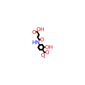 COC(=O)c1ccc(NC(=O)C=CC(=O)O)cc1O